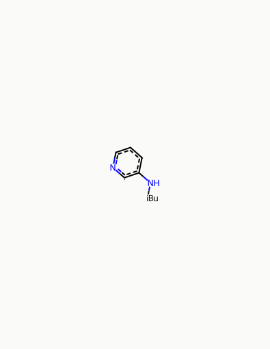 CCC(C)Nc1[c]nccc1